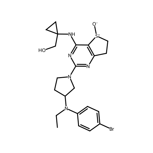 CCN(c1ccc(Br)cc1)C1CCN(c2nc3c(c(NC4(CO)CC4)n2)[S+]([O-])CC3)C1